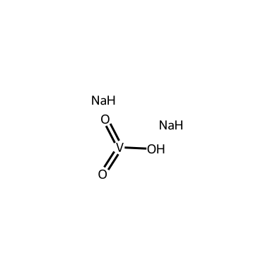 [NaH].[NaH].[O]=[V](=[O])[OH]